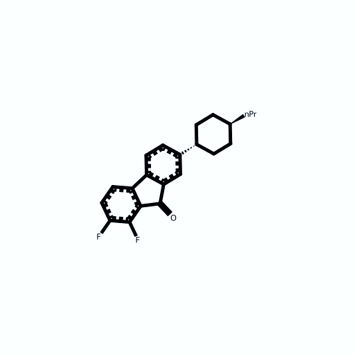 CCC[C@H]1CC[C@H](c2ccc3c(c2)C(=O)c2c-3ccc(F)c2F)CC1